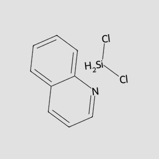 Cl[SiH2]Cl.c1ccc2ncccc2c1